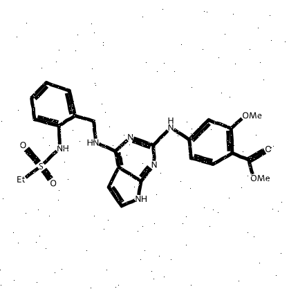 CCS(=O)(=O)Nc1ccccc1CNc1nc(Nc2ccc(C(=O)OC)c(OC)c2)nc2[nH]ccc12